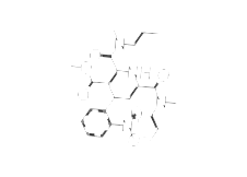 CC=CN(C)C(=O)C1=CC(c2ccccc2[N+](=O)[O-])C(C(=O)OC)=C(C(=O)N(C)C=CC)N1